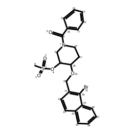 CS(=O)(=O)OC1CN(C(=O)c2ccccc2)CCC1OCc1ccc2ccccc2c1Br